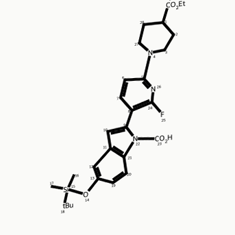 CCOC(=O)C1CCN(c2ccc(-c3cc4cc(O[Si](C)(C)C(C)(C)C)ccc4n3C(=O)O)c(F)n2)CC1